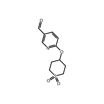 O=Cc1ccc(OC2CCS(=O)(=O)CC2)nc1